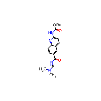 CC(C)COC(=O)Nc1ccc2cc(C(=O)/N=C/N(C)C)ccc2n1